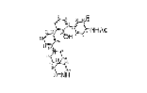 CC(=O)Nc1ccc(-c2cccc(-c3cccc(N4CCC5(CCNCC5)CC4)c3)c2O)cc1F